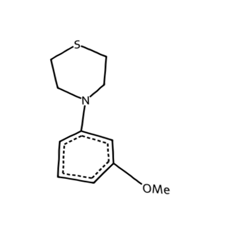 COc1cccc(N2CCSCC2)c1